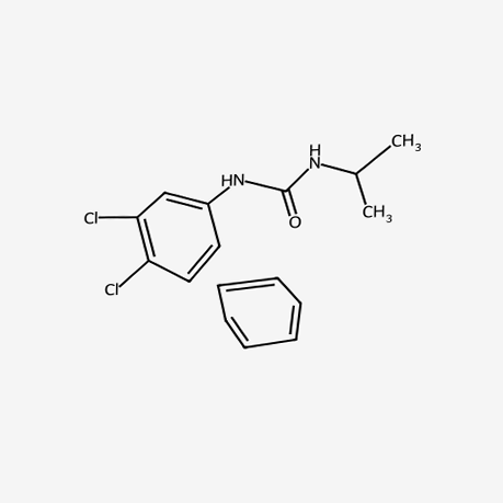 CC(C)NC(=O)Nc1ccc(Cl)c(Cl)c1.c1ccccc1